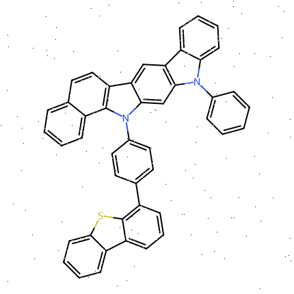 c1ccc(-n2c3ccccc3c3cc4c5ccc6ccccc6c5n(-c5ccc(-c6cccc7c6sc6ccccc67)cc5)c4cc32)cc1